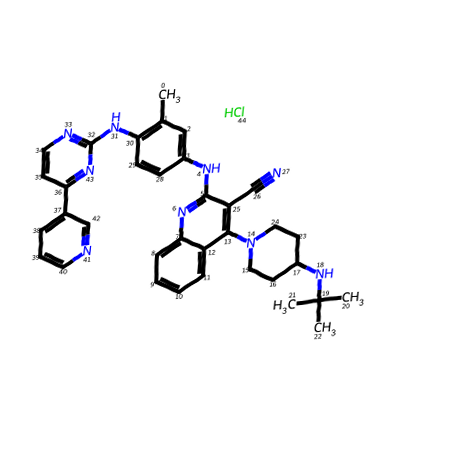 Cc1cc(Nc2nc3ccccc3c(N3CCC(NC(C)(C)C)CC3)c2C#N)ccc1Nc1nccc(-c2cccnc2)n1.Cl